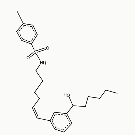 CCCCCC(O)c1cccc(/C=C\CCCCNS(=O)(=O)c2ccc(C)cc2)c1